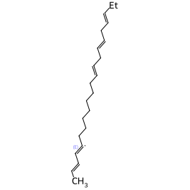 CC=C/C=[C]/CCCCCCCC=CCC=CCC=CCC